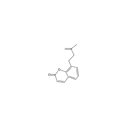 C=C(C)CCc1cccc2ccc(=O)oc12